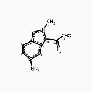 Cn1cc2ccc([N+](=O)[O-])cc2c1C(=O)C=O